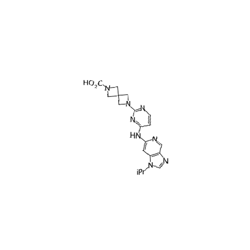 CC(C)n1cnc2cnc(Nc3ccnc(N4CC5(CN(C(=O)O)C5)C4)n3)cc21